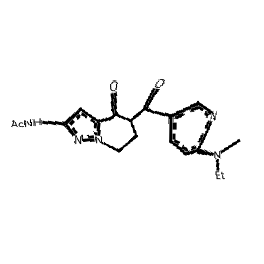 CCN(C)c1ccc(C(=O)C2CCn3nc(NC(C)=O)cc3C2=O)cn1